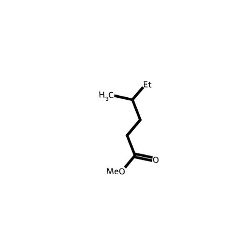 CCC(C)CCC(=O)OC